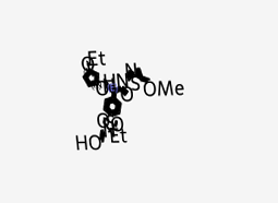 CCO[C@@H]1CC[C@@H](O/N=C(/C(=O)Nc2ncc(COC)s2)c2ccc(S(=O)(=O)N(CC)CCO)cc2)C1